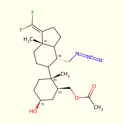 CC(=O)OC[C@H]1C[C@@H](O)CC[C@]1(C)C1CC[C@]2(C)C(=C(F)F)CCC2[C@@H]1CN=[N+]=[N-]